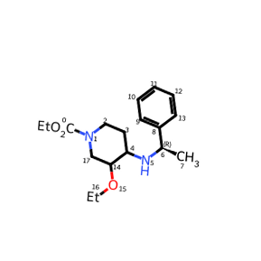 CCOC(=O)N1CCC(N[C@H](C)c2ccccc2)C(OCC)C1